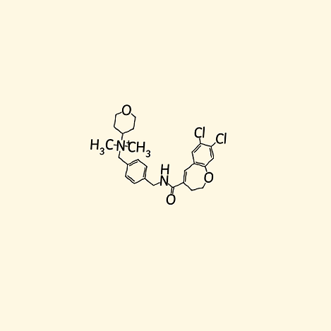 C[N+](C)(Cc1ccc(CNC(=O)C2=Cc3cc(Cl)c(Cl)cc3OCC2)cc1)C1CCOCC1